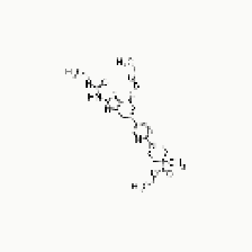 CCNC(=O)Nc1nc2c(s1)C(=C=NOCC)C=C(c1cnc(N3CCC(C)(C(=O)OCC)CC3)nc1)C2